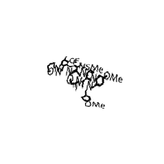 COc1ccc(CN(Cc2ccc(OC)cc2)c2ncccc2C(C)N2c3nc(SC)nc4c(F)c(-c5c(C(F)(F)F)c(C)cc6c5cnn6C5CCCCO5)nc(c34)OC[C@@H]2C)cc1